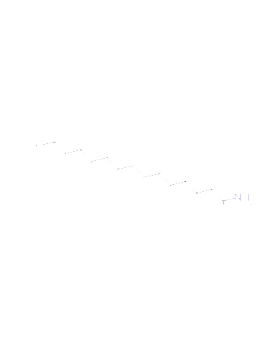 CCCCCCCCCCCCCC[CH]N